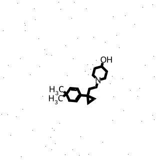 CC1(C)C=CC(C2(CCN3CCC(O)CC3)CC2)=CC1